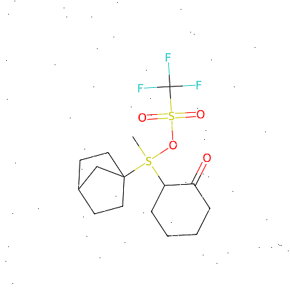 CS(OS(=O)(=O)C(F)(F)F)(C1CCCCC1=O)C12CCC(CC1)C2